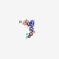 CS(=O)(=O)c1ccc([N+]2(OC3CCN(C(=O)c4ccc(OC(F)F)cc4)CC3)N=Cc3cncnc32)c(F)c1